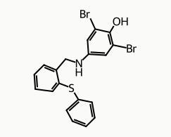 Oc1c(Br)cc(NCc2ccccc2Sc2ccccc2)cc1Br